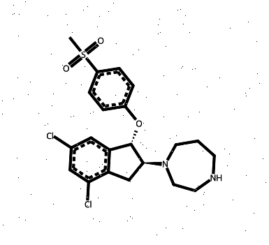 CS(=O)(=O)c1ccc(O[C@H]2c3cc(Cl)cc(Cl)c3C[C@@H]2N2CCCNCC2)cc1